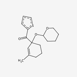 CC1=CC(OC2CCCCO2)(C(=O)c2cccs2)CCC1